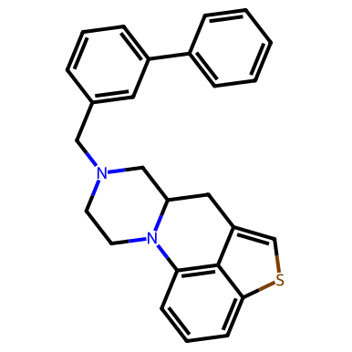 c1ccc(-c2cccc(CN3CCN4c5cccc6scc(c56)CC4C3)c2)cc1